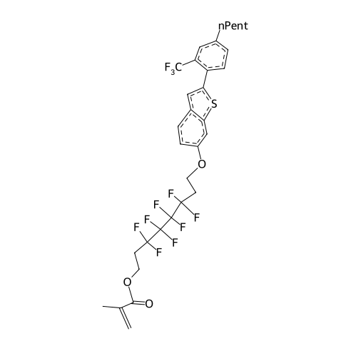 C=C(C)C(=O)OCCC(F)(F)C(F)(F)C(F)(F)C(F)(F)CCOc1ccc2cc(-c3ccc(CCCCC)cc3C(F)(F)F)sc2c1